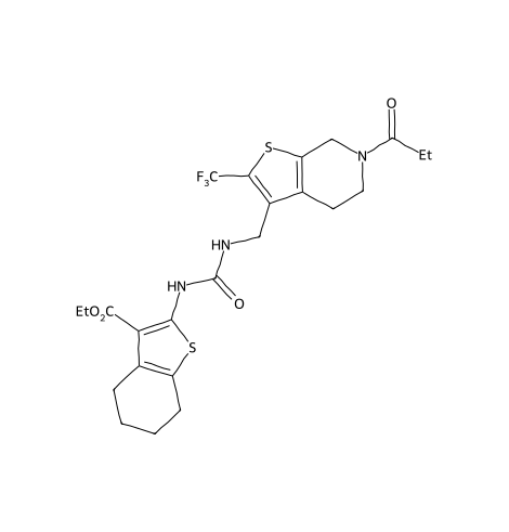 CCOC(=O)c1c(NC(=O)NCc2c(C(F)(F)F)sc3c2CCN(C(=O)CC)C3)sc2c1CCCC2